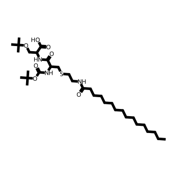 CCCCCCCCCCCCCCCC(=O)NCCSCC(NC(=O)OC(C)(C)C)C(=O)NC(COC(C)(C)C)C(=O)O